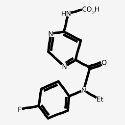 CCN(C(=O)c1cc(NC(=O)O)ncn1)c1ccc(F)cc1